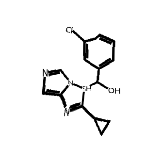 OC(c1cccc(Cl)c1)[SH]1C(C2CC2)=Nc2cncn21